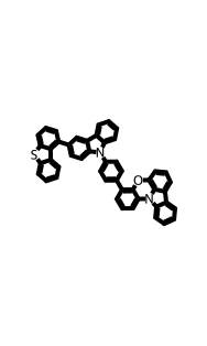 c1cc(-c2ccc(-n3c4ccccc4c4cc(-c5cccc6sc7ccccc7c56)ccc43)cc2)c2c(c1)-n1c3ccccc3c3cccc(c31)O2